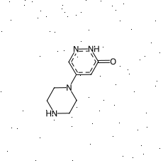 O=c1cc(N2CCNCC2)cn[nH]1